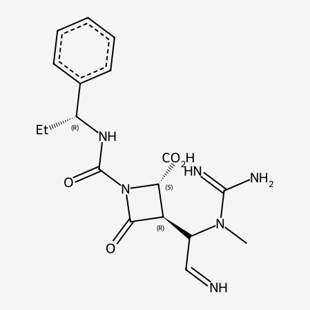 CC[C@@H](NC(=O)N1C(=O)[C@H](C(C=N)N(C)C(=N)N)[C@H]1C(=O)O)c1ccccc1